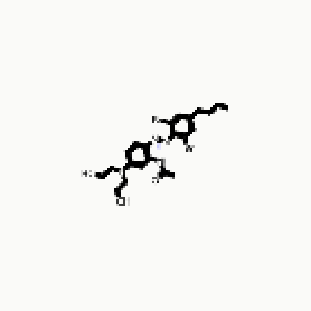 CCCCc1cc(Br)c(/N=N/c2ccc(N(CCO)CCO)cc2NC(C)=O)c(Br)c1